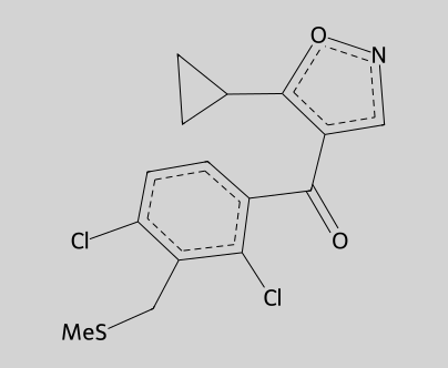 CSCc1c(Cl)ccc(C(=O)c2cnoc2C2CC2)c1Cl